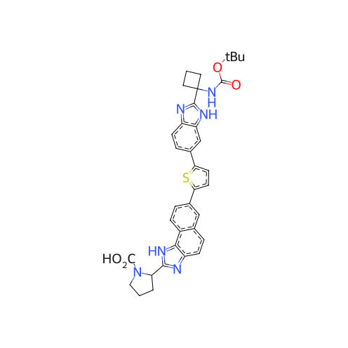 CC(C)(C)OC(=O)NC1(c2nc3ccc(-c4ccc(-c5ccc6c(ccc7nc(C8CCCN8C(=O)O)[nH]c76)c5)s4)cc3[nH]2)CCC1